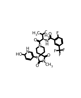 CC(C)[C@@H](NC(=O)c1cc(C(F)(F)F)ccc1F)C(=O)N1CCC2(CC1)C(=O)N(C)C(=O)N2C1=CNC(O)C=C1